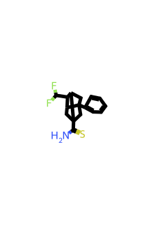 NC(=S)C12CC3C(C(F)F)C1CC3(c1ccccc1)C2